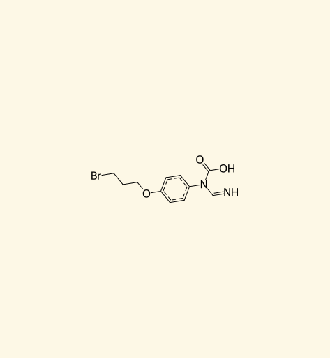 N=CN(C(=O)O)c1ccc(OCCCBr)cc1